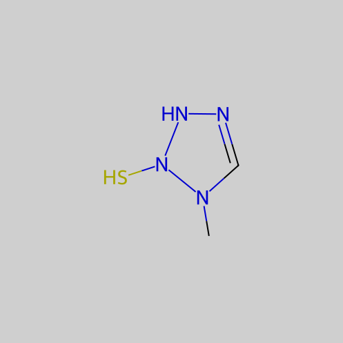 CN1C=NNN1S